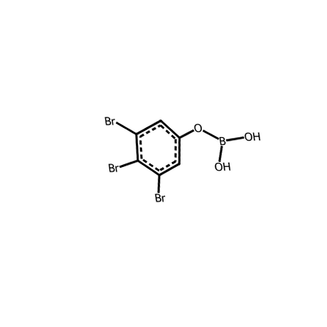 OB(O)Oc1cc(Br)c(Br)c(Br)c1